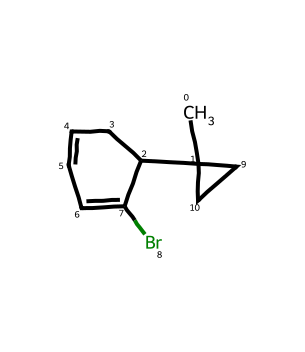 CC1(C2CC=CC=C2Br)CC1